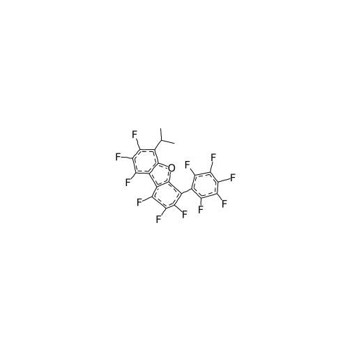 CC(C)c1c(F)c(F)c(F)c2c1oc1c(-c3c(F)c(F)c(F)c(F)c3F)c(F)c(F)c(F)c12